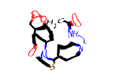 CC(N)=O.O=Cc1c(N2C=CSC2c2ccncc2)ccc2c1COO2